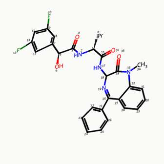 CC(C)[C@H](NC(=O)[C@@H](O)c1cc(F)cc(F)c1)C(=O)NC1N=C(c2ccccc2)c2ccccc2N(C)C1=O